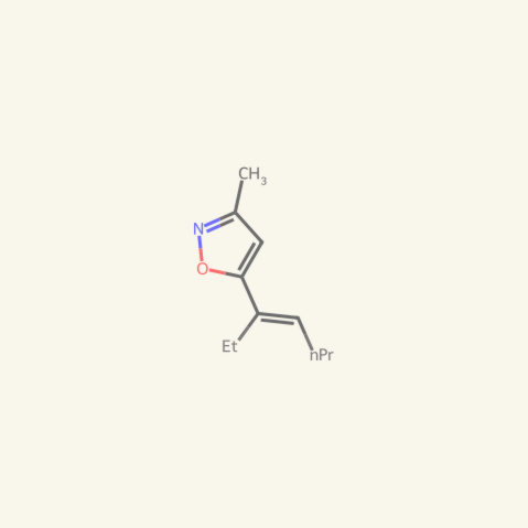 CCCC=C(CC)c1cc(C)no1